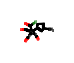 CC1=CC[C]([Mn](=[C]=O)(=[C]=O)(=[C]=O)[C](=O)Cl)=C1